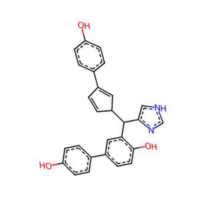 Oc1ccc(C2=CC(C(c3c[nH]cn3)c3cc(-c4ccc(O)cc4)ccc3O)C=C2)cc1